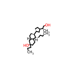 CCCC[C@H]1[C@H]([C@@H]2CCC(C(C)CO)C2)CC[C@@H]2C[C@@](O)(CCC)CC[C@@H]21